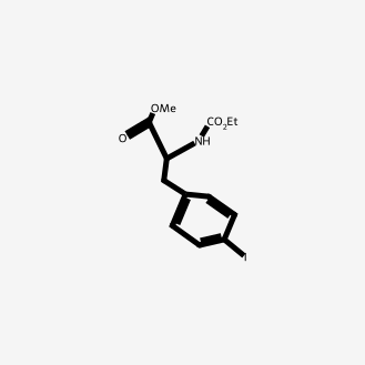 CCOC(=O)NC(Cc1ccc(I)cc1)C(=O)OC